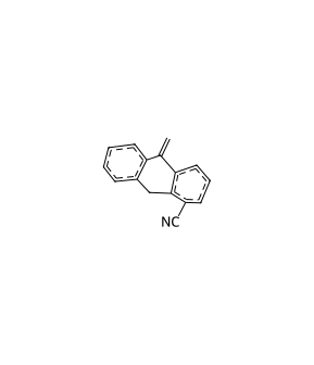 C=C1c2ccccc2Cc2c(C#N)cccc21